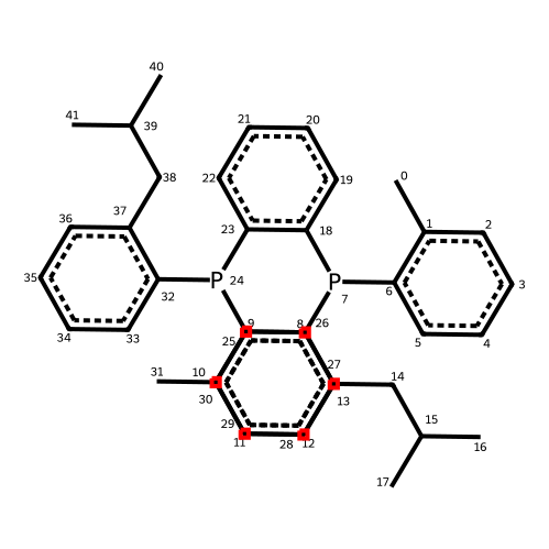 Cc1ccccc1P(c1ccccc1CC(C)C)c1ccccc1P(c1ccccc1C)c1ccccc1CC(C)C